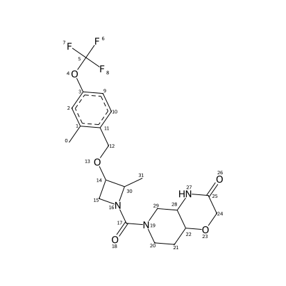 Cc1cc(OC(F)(F)F)ccc1COC1CN(C(=O)N2CCC3OCC(=O)NC3C2)C1C